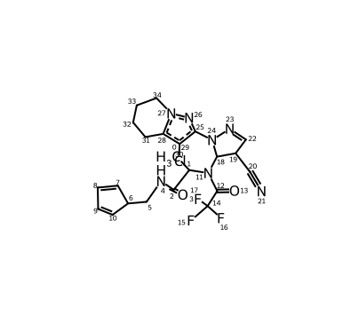 CC(C(=O)NCC1C=CC=C1)N(C(=O)C(F)(F)F)C1C(C#N)C=NN1c1nn2c(c1Cl)CCCC2